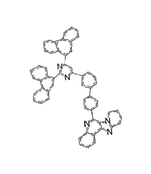 c1cc(-c2ccc(-c3nc4ccccc4c4nc5ccccn5c34)cc2)cc(-c2cc(-c3cc4ccccc4c4ccccc34)nc(-c3cc4ccccc4c4ccccc34)n2)c1